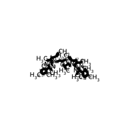 CC#Cc1cc2c(C)nc3c(-c4c(C)cc(C)cc4C)c(C)nn3c2n1CCC(CC)OC(CC)CCn1c(C#CC)cc2c(C)nc3c(-c4c(C)cc(C)cc4C)c(C)nn3c21